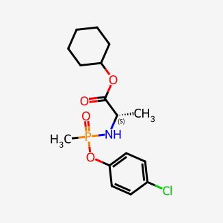 C[C@H](NP(C)(=O)Oc1ccc(Cl)cc1)C(=O)OC1CCCCC1